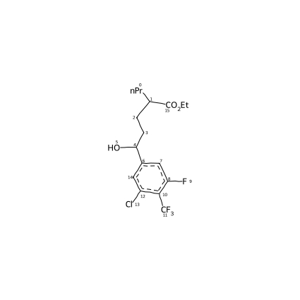 CCCC(CCC(O)c1cc(F)c(C(F)(F)F)c(Cl)c1)C(=O)OCC